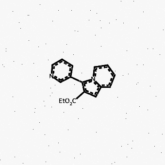 CCOC(=O)c1cc2ccccn2c1-c1cccnc1